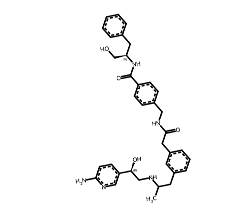 CC(Cc1cccc(CC(=O)NCc2ccc(C(=O)N[C@@H](CO)Cc3ccccc3)cc2)c1)NC[C@H](O)c1ccc(N)nc1